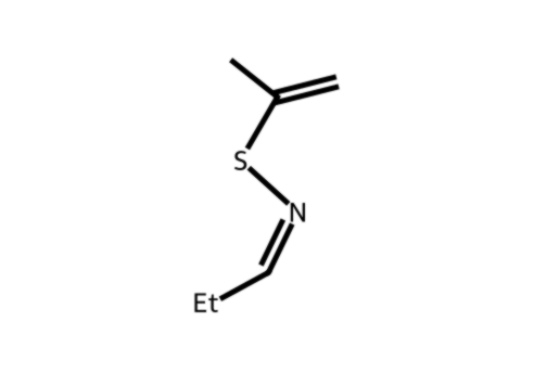 C=C(C)S/N=C\CC